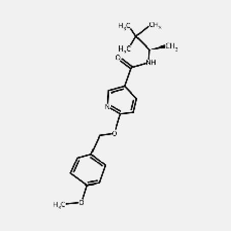 COc1ccc(COc2ccc(C(=O)N[C@H](C)C(C)(C)C)cn2)cc1